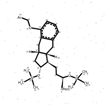 CCCCC[C@@H](CC[C@@H]1[C@H]2Cc3cccc(OCC(C)=O)c3C[C@H]2C[C@H]1O[Si](C)(C)C)O[Si](C)(C)C